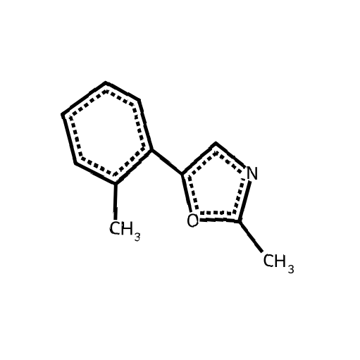 Cc1ncc(-c2ccccc2C)o1